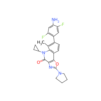 Cc1c(-c2cc(F)c(N)cc2F)ccc2c3oc(N4CCCC4)nc3c(=O)n(C3CC3)c12